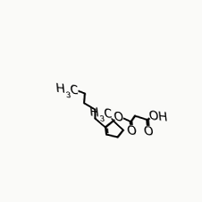 CCCCCC1=CCC[C@@]1(C)OC(=O)CC(=O)O